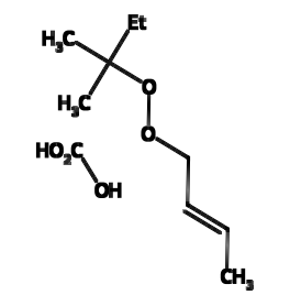 CC=CCOOC(C)(C)CC.O=C(O)O